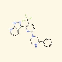 FC(F)(F)c1ccc(N2CCN[C@H](c3ccccc3)C2)nc1-c1n[nH]c2ncccc12